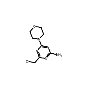 Nc1nc(CCl)nc(N2CCOCC2)n1